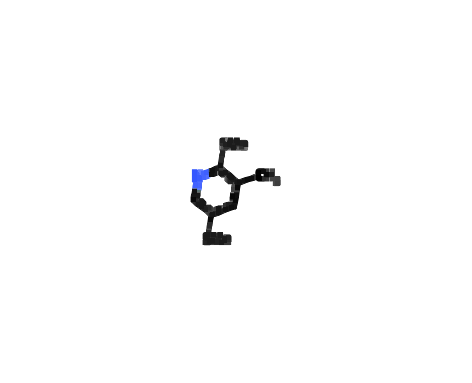 CSc1cnc(SC)c(C)c1